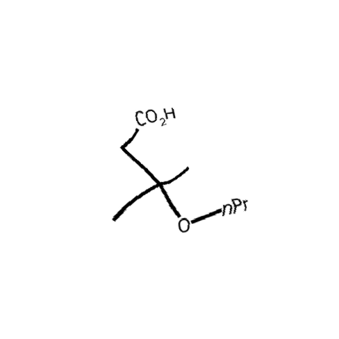 CCCOC(C)(C)CC(=O)O